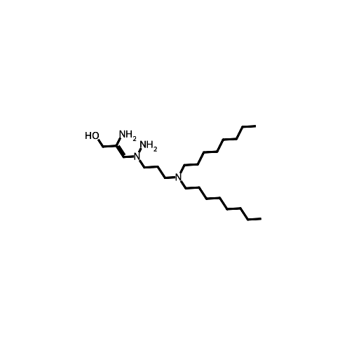 CCCCCCCCN(CCCCCCCC)CCCN(N)/C=C(\N)CO